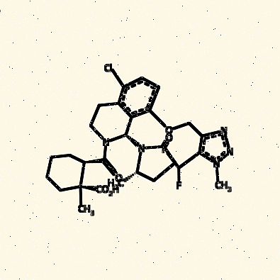 C[C@H]1CCC(=O)N1[C@@H]1c2c(OCc3nnn(C)c3C(F)F)ccc(Cl)c2CCN1C(=O)[C@@H]1CCCC[C@]1(C)C(=O)O